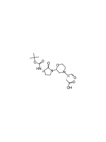 CC(C)(C)OC(=O)N[C@H]1CCN(C2CN([C@H](C=O)CC(=O)O)CCO2)C1=O